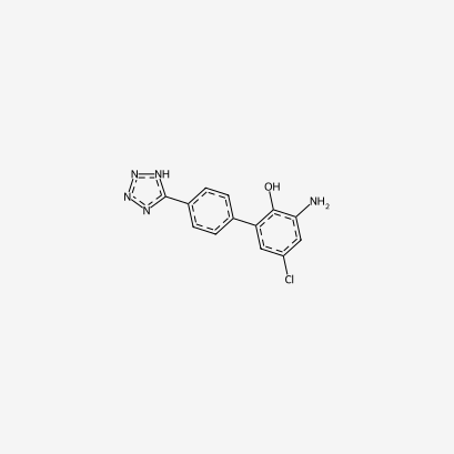 Nc1cc(Cl)cc(-c2ccc(-c3nnn[nH]3)cc2)c1O